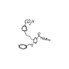 CNC(=O)c1ccc(OCc2ccccc2)c(CCCc2ccc(C(=O)O)cc2)c1